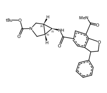 CNC(=O)c1cc(C(=O)N[C@H]2[C@@H]3CN(C(=O)OC(C)(C)C)C[C@@H]32)cc2c1OCC2c1ccccc1